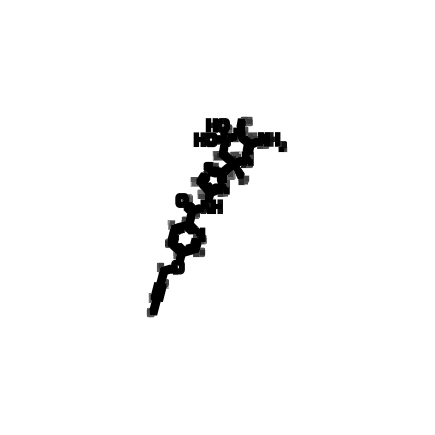 CC#CCOc1ccc(C(=O)Nc2csc([C@]3(C)CS(O)(O)N(C)C(N)=N3)n2)nc1